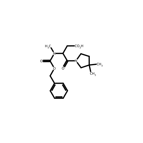 CN(C(=O)OCc1ccccc1)C(CC(=O)O)C(=O)N1CCC(C)(C)C1